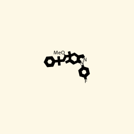 CO[C@H](CC(C)(C)c1ccccc1)C1(C)Cc2cnn(-c3ccc(F)cc3)c2C=C1C